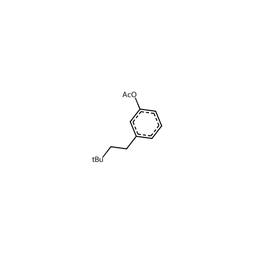 CC(=O)Oc1cccc(CCC(C)(C)C)c1